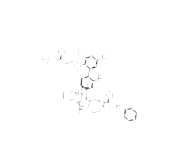 O=C(O)CCOc1c(F)cc(F)cc1-c1cccc(C[C@H]2[C@@H](NS(=O)(=O)CF)[C@@H](F)CCN2C(=O)OCc2ccccc2)c1F